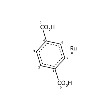 O=C(O)c1ccc(C(=O)O)cc1.[Ru]